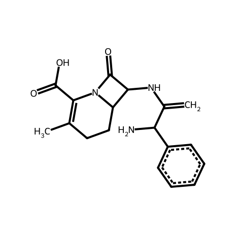 C=C(NC1C(=O)N2C(C(=O)O)=C(C)CCC12)C(N)c1ccccc1